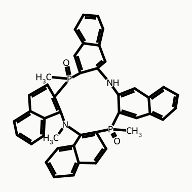 CN1c2c(ccc3ccccc23)P(C)(=O)c2cc3ccccc3cc2Nc2cc3ccccc3cc2P(C)(=O)c2ccc3ccccc3c21